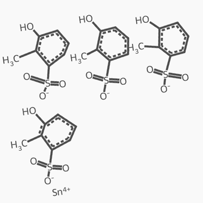 Cc1c(O)cccc1S(=O)(=O)[O-].Cc1c(O)cccc1S(=O)(=O)[O-].Cc1c(O)cccc1S(=O)(=O)[O-].Cc1c(O)cccc1S(=O)(=O)[O-].[Sn+4]